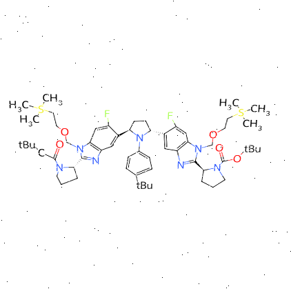 CC(C)(C)CC(=O)N1CCC[C@H]1c1nc2cc([C@H]3CC[C@H](c4cc5nc([C@@H]6CCCN6C(=O)OC(C)(C)C)n(COCCS(C)(C)C)c5cc4F)N3c3ccc(C(C)(C)C)cc3)c(F)cc2n1COCCS(C)(C)C